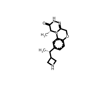 C[C@H](c1ccc2c(c1)N1C(=NNC(=O)[C@H]1C)CO2)C1CNC1